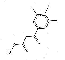 COC(=O)CC(=O)c1cc(F)c(F)c(F)c1